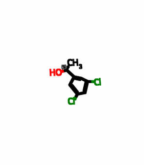 C[C@H](O)c1cc(Cl)cc(Cl)c1